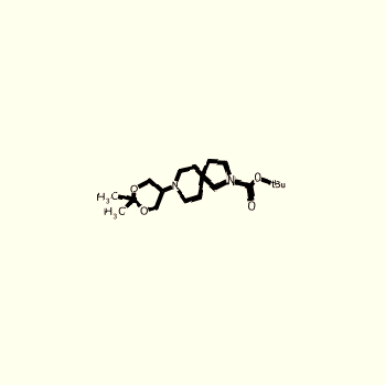 CC(C)(C)OC(=O)N1CCC2(CCN(C3COC(C)(C)OC3)CC2)C1